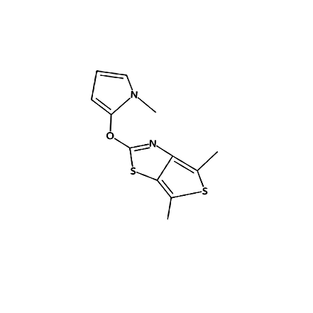 Cc1sc(C)c2sc(Oc3cccn3C)nc12